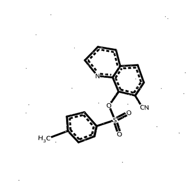 Cc1ccc(S(=O)(=O)Oc2c(C#N)ccc3cccnc23)cc1